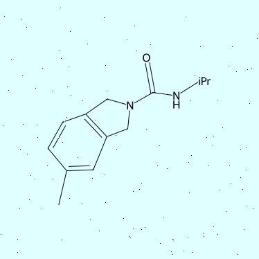 Cc1ccc2c(c1)CN(C(=O)NC(C)C)C2